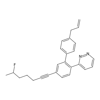 C=CCc1ccc(-c2cc(C#CCCCC(C)F)ccc2-c2cccnn2)cc1